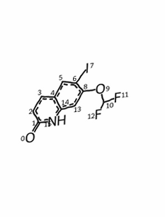 O=c1ccc2cc(I)c(OC(F)F)cc2[nH]1